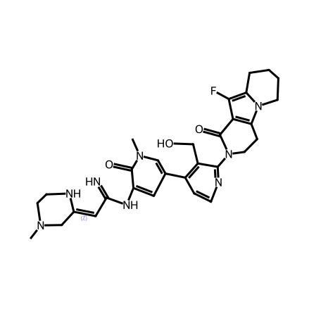 CN1CCN/C(=C\C(=N)Nc2cc(-c3ccnc(N4CCc5c(c(F)c6n5CCCC6)C4=O)c3CO)cn(C)c2=O)C1